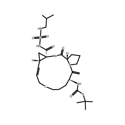 C=C1[C@@H](NC(=O)OC(C)(C)C)CCCCC/C=C\[C@@H]2C[C@@]2(C(=O)NS(=O)(=O)NCC(C)C)NC(=O)[C@@H]2CCCN12